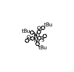 CC(C)(C)c1ccc(N2B3c4cc5oc6ccccc6c5cc4-n4c5ccc(C(C)(C)C)cc5c5c6sc7ccccc7c6c(c3c54)-c3cc4c(cc32)oc2cc(C(C)(C)C)ccc24)cc1